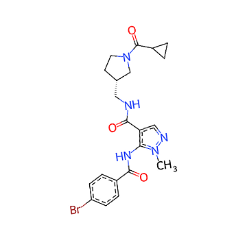 Cn1ncc(C(=O)NC[C@@H]2CCN(C(=O)C3CC3)C2)c1NC(=O)c1ccc(Br)cc1